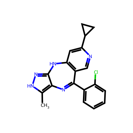 Cc1[nH]nc2c1N=C(c1ccccc1Cl)c1cnc(C3CC3)cc1N2